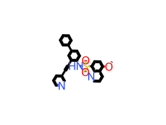 COc1ccc(S(=O)(=O)Nc2ccc(-c3ccccc3)cc2C#Cc2cccnc2)c2ncccc12